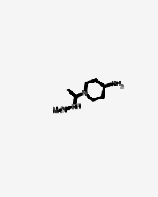 CNNC(C)N1CCC(N)CC1